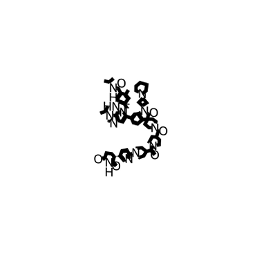 Cc1cc(F)c(Nc2nc(-c3ccc4c(c3)N(C3CC(N5CCCCC5)C3)C(=O)C43CCN(C(=O)C4CCN(C(=O)C5CCN(c6ccc([C@H]7CCC(=O)NC7=O)cn6)CC5)CC4)CC3)cc3ncn(C(C)C)c23)cc1C(=O)NC(C)C